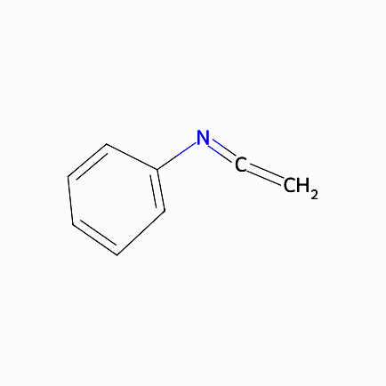 C=C=Nc1ccccc1